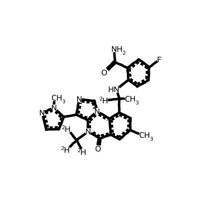 [2H]C(C)(Nc1ccc(F)cc1C(N)=O)c1cc(C)cc2c(=O)n(C([2H])([2H])[2H])c3c(-c4ccnn4C)ncn3c12